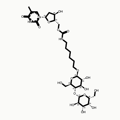 Cc1cn([C@@H]2C[C@@H](O)[C@H](COC(=O)NCCCCCCO[C@@H]3O[C@H](CO)[C@@H](O[C@@H]4O[C@H](CO)[C@H](O)[C@H](O)[C@H]4O)[C@H](O)[C@H]3O)O2)c(=O)[nH]c1=O